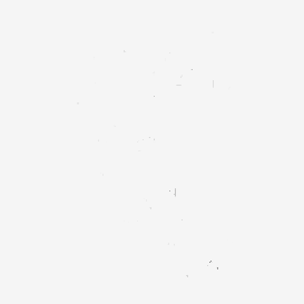 Cc1cnccc1NC(=O)c1ccc(-c2cc(OC(F)(F)F)ccc2C)s1